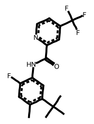 Cc1cc(F)c(NC(=O)c2cc(C(F)(F)F)ccn2)cc1C(C)(C)C